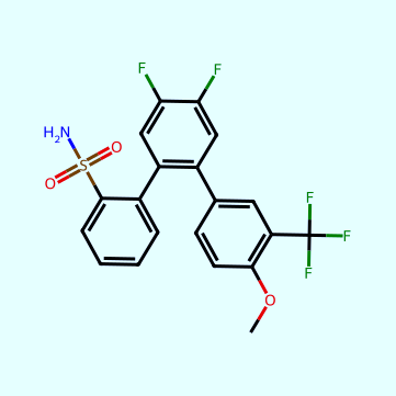 COc1ccc(-c2cc(F)c(F)cc2-c2ccccc2S(N)(=O)=O)cc1C(F)(F)F